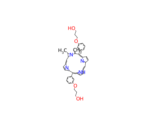 C=C1/C(c2cccc(OCCCO)c2)=C2/C=CC(=N2)/C=c2/cc/c([nH]2)=C(\c2cccc(OCCCO)c2)C2=N/C(=C\C3C(C)N13)C=C2